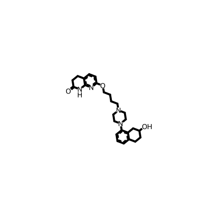 O=C1CCc2ccc(OCCCCN3CCN(c4cccc5c4CC(O)CC5)CC3)nc2N1